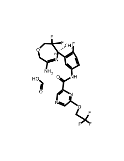 C[C@]1(c2cc(NC(=O)c3cncc(OCC(F)(F)F)n3)ccc2F)N=C(N)COCC1(F)F.O=CO